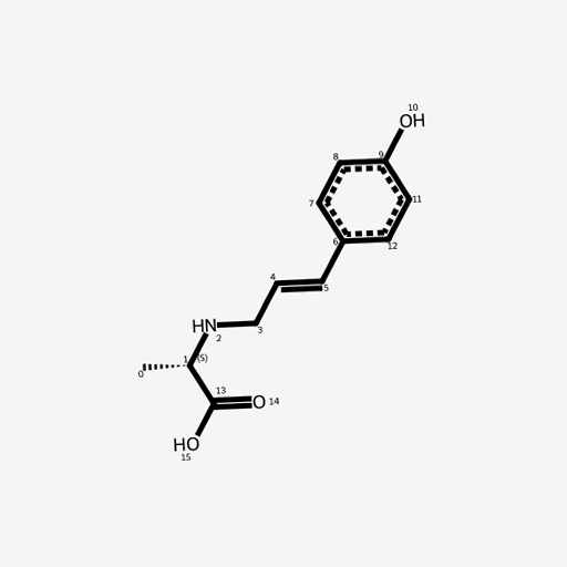 C[C@H](NCC=Cc1ccc(O)cc1)C(=O)O